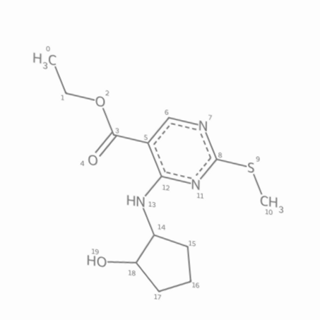 CCOC(=O)c1cnc(SC)nc1NC1CCCC1O